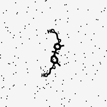 Cc1cc(C(C)(C)c2ccc(OCCO)c(C)c2)ccc1OCCO